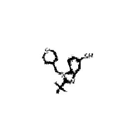 CC(C)(C)c1nc2cc(S)ccc2n1CC1CCSCC1